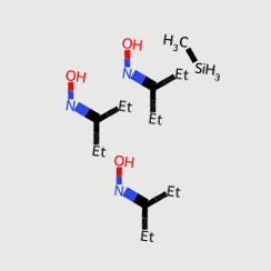 CCC(CC)=NO.CCC(CC)=NO.CCC(CC)=NO.C[SiH3]